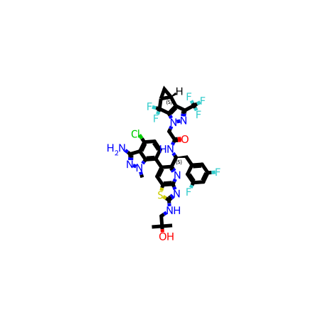 Cn1nc(N)c2c(Cl)ccc(-c3cc4sc(NCC(C)(C)O)nc4nc3[C@H](Cc3cc(F)cc(F)c3)NC(=O)Cn3nc(C(F)(F)F)c4c3C(F)(F)C3C[C@H]43)c21